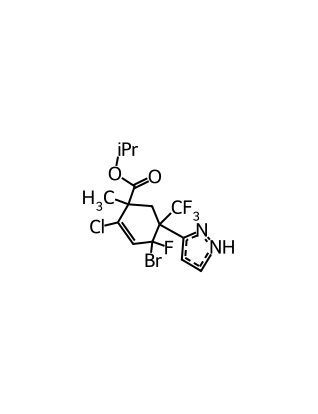 CC(C)OC(=O)C1(C)CC(c2cc[nH]n2)(C(F)(F)F)C(F)(Br)C=C1Cl